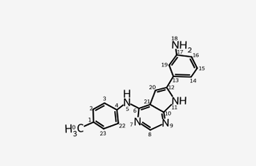 Cc1ccc(Nc2ncnc3[nH]c(-c4cccc(N)c4)cc23)cc1